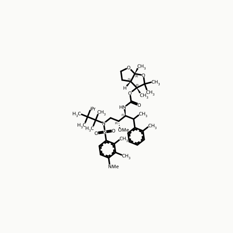 CNc1ccc(S(=O)(=O)N(C[C@@H](OC)[C@@H](NC(=O)O[C@]2(C)[C@@H]3CCO[C@]3(C)OC2(C)C)C(C)c2ccccc2C)C(C)(C)C(C)(C)C(C)C)c(C)c1C